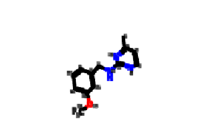 Cc1ccnc(NCc2cccc(OC(F)(F)F)c2)n1